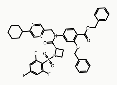 O=C(OCc1ccccc1)c1ccc(N(Cc2cnc(C3CCCCC3)cn2)C(=O)[C@H]2CCN2S(=O)(=O)c2c(F)cc(F)cc2F)cc1OCc1ccccc1